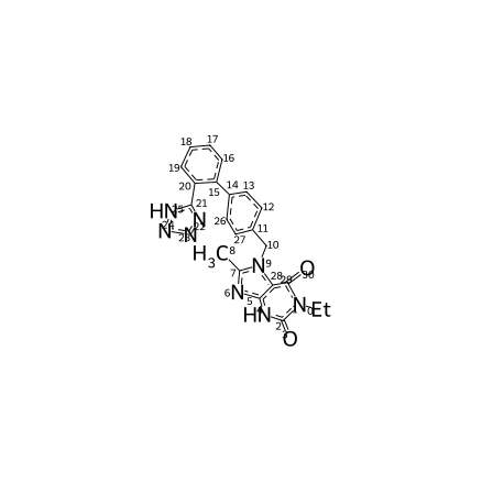 CCn1c(=O)[nH]c2nc(C)n(Cc3ccc(-c4ccccc4-c4nnn[nH]4)cc3)c2c1=O